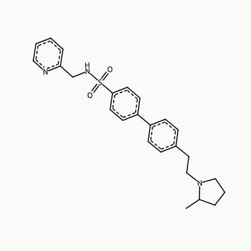 CC1CCCN1CCc1ccc(-c2ccc(S(=O)(=O)NCc3ccccn3)cc2)cc1